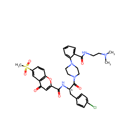 CN(C)CCNC(=O)c1ccccc1N1CCN(C(=O)[C@@H](Cc2ccc(Cl)cc2)NC(=O)c2cc(=O)c3cc(S(C)(=O)=O)ccc3o2)CC1